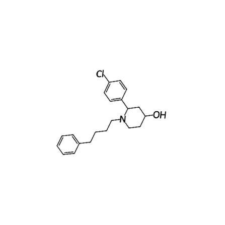 OC1CCN(CCCCc2ccccc2)C(c2ccc(Cl)cc2)C1